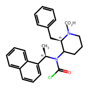 C[C@H](c1cccc2ccccc12)N(C(=O)Cl)C1CCCN(C(=O)O)[C@@H]1Cc1ccccc1